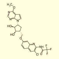 COc1ncnc2c1ccn2[C@@H]1C[C@H](COc2ccc3cc(Cl)c(NC(=O)C(F)(F)F)nc3c2)[C@@H](O)[C@H]1O